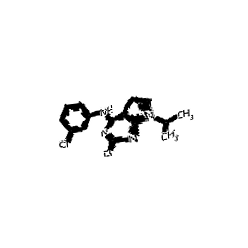 CC(C)n1ccc2c(Nc3cccc(Cl)c3)nc(Cl)nc21